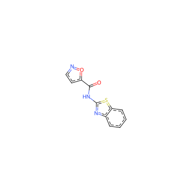 O=C(Nc1nc2ccccc2s1)c1ccno1